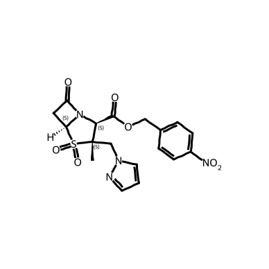 C[C@]1(Cn2cccn2)[C@H](C(=O)OCc2ccc([N+](=O)[O-])cc2)N2C(=O)C[C@@H]2S1(=O)=O